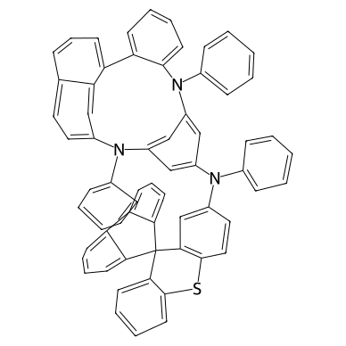 c1ccc(N(c2ccc3c(c2)C2(c4ccccc4S3)c3ccccc3-c3ccccc32)c2cc3cc(c2)n(-c2ccccc2)c2ccccc2c2cccc4ccc(cc42)n3-c2ccccc2)cc1